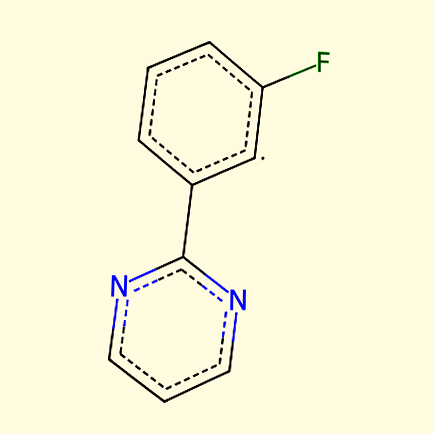 Fc1[c]c(-c2ncccn2)ccc1